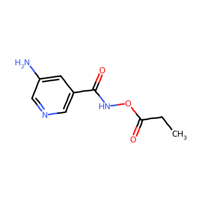 CCC(=O)ONC(=O)c1cncc(N)c1